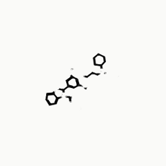 COc1cc(C2Sc3ccccc3N2C(C)=O)cc(OC)c1OCCCN(C)C1CCCCC1